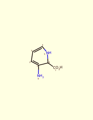 NC1=CC=CN[C]1C(=O)O